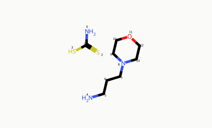 NC(=S)S.NCCCN1CCOCC1